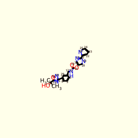 CC(C)(O)c1nc(-c2cccc(CNC(=O)Oc3cnc(-c4ccccn4)nc3)c2)no1